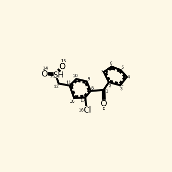 O=C(c1[c]cccc1)c1ccc(C[SH](=O)=O)cc1Cl